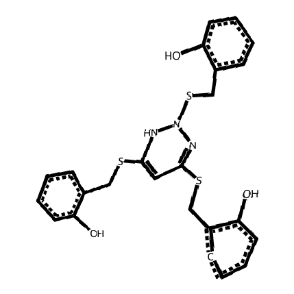 Oc1ccccc1CSC1=CC(SCc2ccccc2O)=NN(SCc2ccccc2O)N1